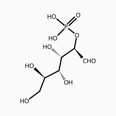 O=C[C@H](OP(=O)(O)O)[C@@H](O)[C@H](O)[C@H](O)CO